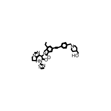 CCc1cc(C#Cc2ccc(CN3CCC(CO)CC3)cc2)cc2c1CN(C(C(=O)Nc1nccs1)c1ncn3c1CCC3)C2=O